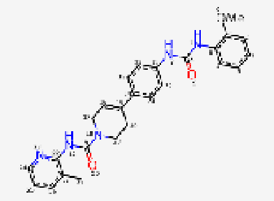 COc1ccccc1NC(=O)Nc1ccc(C2=CCN(C(=O)Nc3ncccc3C)CC2)cc1